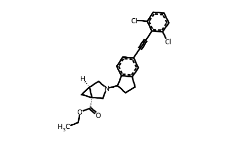 CCOC(=O)[C@]12C[C@H]1CN(C1CCc3cc(C#Cc4c(Cl)cccc4Cl)ccc31)C2